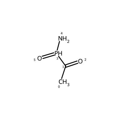 CC(=O)[PH](N)=O